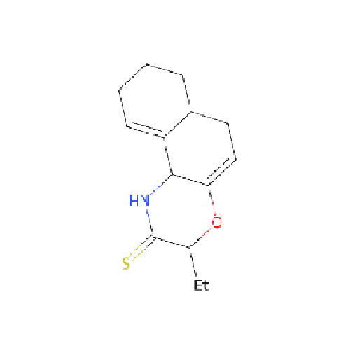 CCC1OC2=CCC3CCCC=C3C2NC1=S